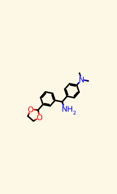 CN(C)c1ccc(C(N)c2cccc(C3OCCO3)c2)cc1